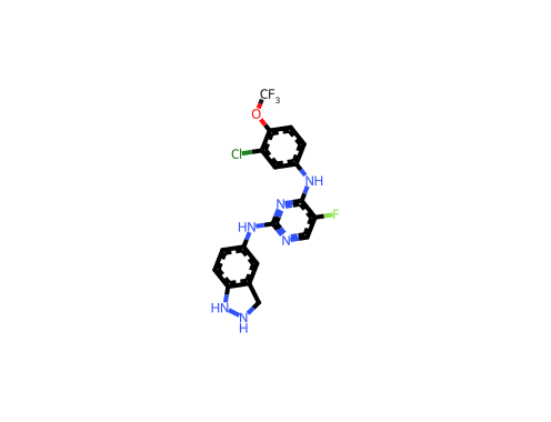 Fc1cnc(Nc2ccc3c(c2)CNN3)nc1Nc1ccc(OC(F)(F)F)c(Cl)c1